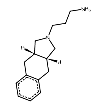 NCCCN1C[C@H]2Cc3ccccc3C[C@H]2C1